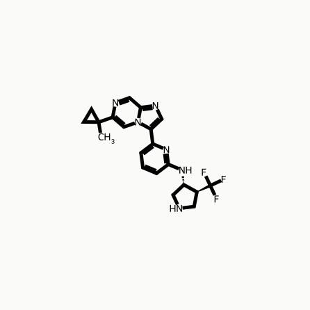 CC1(c2cn3c(-c4cccc(N[C@H]5CNC[C@@H]5C(F)(F)F)n4)cnc3cn2)CC1